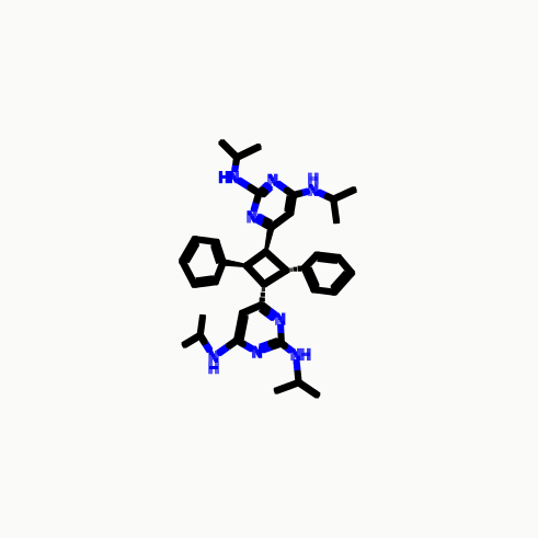 CC(C)Nc1cc([C@H]2[C@H](c3ccccc3)[C@H](c3cc(NC(C)C)nc(NC(C)C)n3)[C@H]2c2ccccc2)nc(NC(C)C)n1